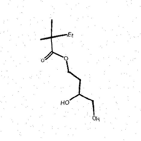 CCC(C)(C)C(=O)OCCC(O)CO